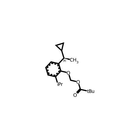 CC(C)c1cccc([C@H](C)C2CC2)c1OCOC(=O)C(C)(C)C